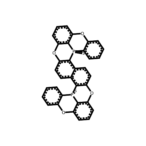 S=P12c3ccccc3Oc3cccc(c31)Oc1ccc3c4c(ccc3c12)Oc1cccc2c1P4(=S)c1ccccc1O2